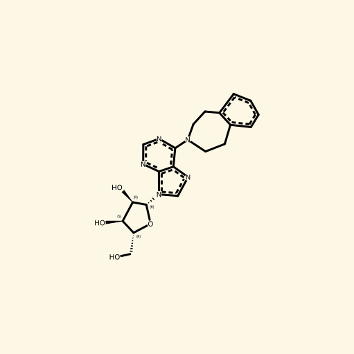 OC[C@H]1O[C@@H](n2cnc3c(N4CCc5ccccc5CC4)ncnc32)[C@H](O)[C@@H]1O